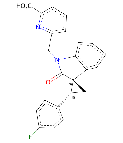 O=C(O)c1cccc(CN2C(=O)[C@]3(C[C@@H]3c3ccc(F)cc3)c3ccccc32)n1